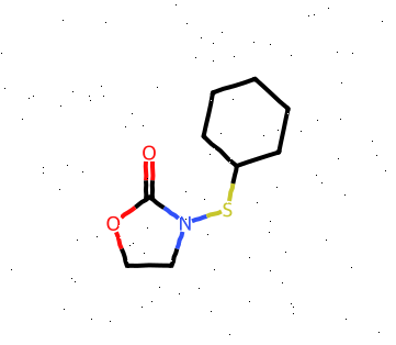 O=C1OCCN1SC1CCCCC1